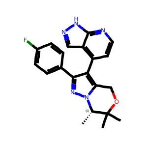 C[C@@H]1n2nc(-c3ccc(F)cc3)c(-c3ccnc4[nH]ncc34)c2COC1(C)C